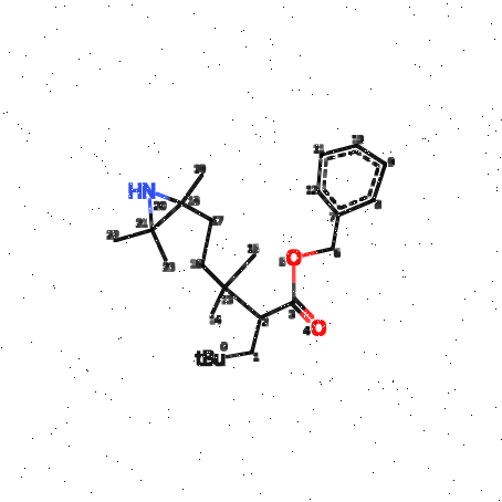 CC(C)(C)CC(C(=O)OCc1ccccc1)C(C)(C)CCC1(C)NC1(C)C